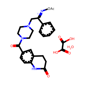 CC(=O)O/N=C(/CN1CCN(C(=O)c2ccc3c(c2)CCC(=O)N3)CC1)c1ccccc1.O.O=C(O)C(=O)O